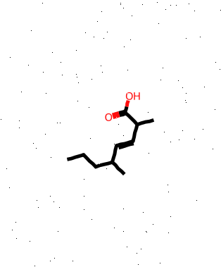 CCCC(C)C=CC(C)C(=O)O